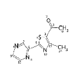 CC(=O)c1sc(-c2cnccn2)nc1C